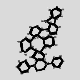 c1ccc(N2CCN(c3ccccc3)c3cc4c(cc32)-c2ccccc2-c2c(cccc2-c2cccc3c2oc2ccccc23)-c2cccnc2-4)cc1